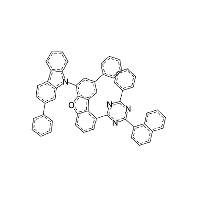 c1ccc(-c2cc(-n3c4ccccc4c4ccc(-c5ccccc5)cc43)c3oc4cccc(-c5nc(-c6ccccc6)nc(-c6cccc7ccccc67)n5)c4c3c2)cc1